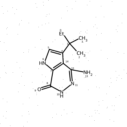 CCC(C)(C)c1c[nH]c2c(=O)[nH]nc(N)c12